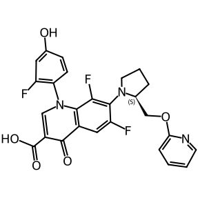 O=C(O)c1cn(-c2ccc(O)cc2F)c2c(F)c(N3CCC[C@H]3COc3ccccn3)c(F)cc2c1=O